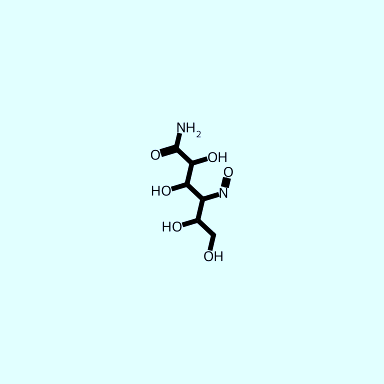 NC(=O)C(O)C(O)C(N=O)C(O)CO